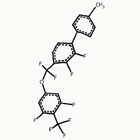 Cc1ccc(-c2ccc(C(F)(F)Oc3cc(F)c(C(F)(F)F)c(F)c3)c(F)c2F)cc1